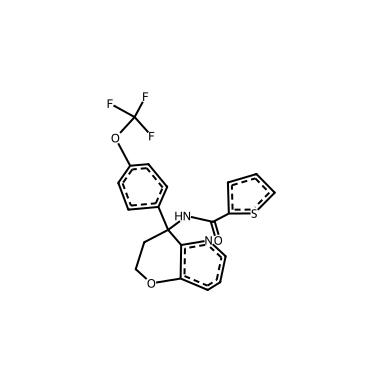 O=C(NC1(c2ccc(OC(F)(F)F)cc2)CCOc2cccnc21)c1cccs1